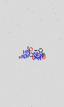 C#Cc1cccc([C@H]2CCON2c2cc(Nc3cc(NC(=O)C=C)c(N4CCN(C5CC5)CC4)cc3OC)ncn2)c1